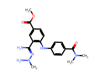 COC(=O)c1ccc(Nc2ccc(C(=O)N(C)C)cc2)c(/C(N)=N/N(C)N)c1